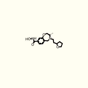 C[C@H]1COc2cc(C(=O)NO)ccc2CN1CCC1CCCO1